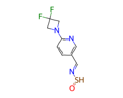 O=[SH]/N=C/c1ccc(N2CC(F)(F)C2)nc1